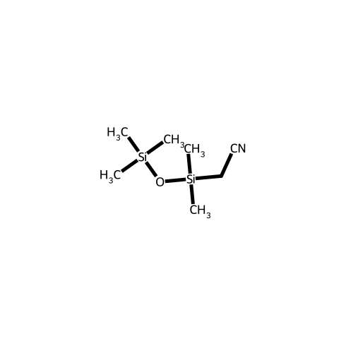 C[Si](C)(C)O[Si](C)(C)CC#N